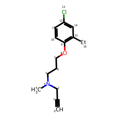 C#CCN(C)CCCOc1ccc(Cl)cc1CC